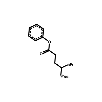 CCCCCC(CCC)CCC(=O)Oc1ccccc1